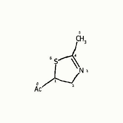 CC(=O)C1CN=C(C)S1